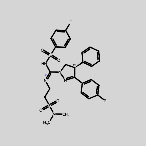 CN(C)S(=O)(=O)CC/N=C(/NS(=O)(=O)c1ccc(F)cc1)N1C[C@@H](c2ccccc2)C(c2ccc(F)cc2)=N1